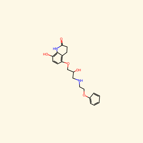 O=C1CCc2c(OCC(O)CNCCOc3ccccc3)ccc(O)c2N1